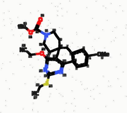 COc1ccc2c(c1)CC1(CCN(C(=O)OC(C)(C)C)CC1)c1c(OCC#N)nc(SCC#N)nc1-2